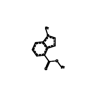 CC(C)OC(=O)c1cccc2c1ccn2C(C)C